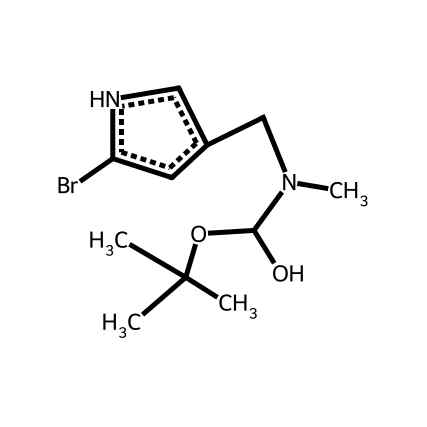 CN(Cc1c[nH]c(Br)c1)C(O)OC(C)(C)C